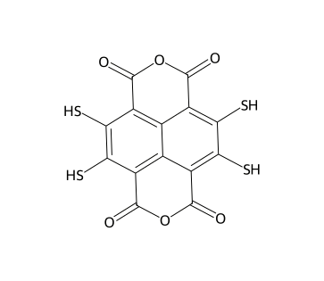 O=C1OC(=O)c2c(S)c(S)c3c4c(c(S)c(S)c1c24)C(=O)OC3=O